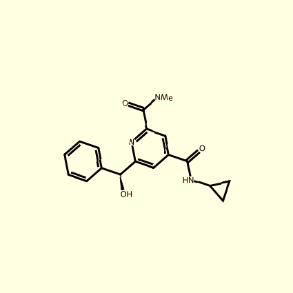 CNC(=O)c1cc(C(=O)NC2CC2)cc([C@@H](O)c2ccccc2)n1